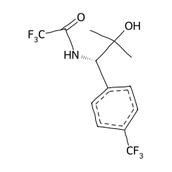 CC(C)(O)[C@@H](NC(=O)C(F)(F)F)c1ccc(C(F)(F)F)cc1